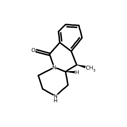 C[C@@H]1c2ccccc2C(=O)N2CCNC[C@@H]12